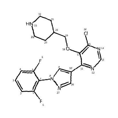 Fc1cccc(F)c1-n1cc(-c2ncnc(Cl)c2OCC2CCNCC2)cn1